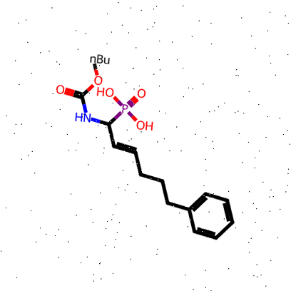 CCCCOC(=O)NC(C=CCCCc1ccccc1)P(=O)(O)O